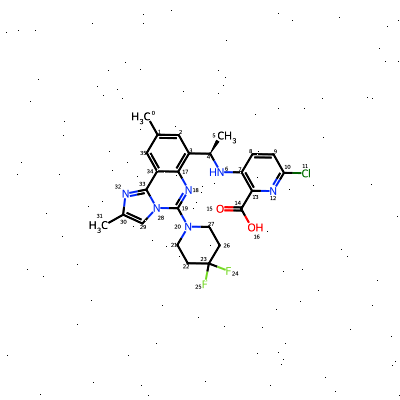 Cc1cc([C@@H](C)Nc2ccc(Cl)nc2C(=O)O)c2nc(N3CCC(F)(F)CC3)n3cc(C)nc3c2c1